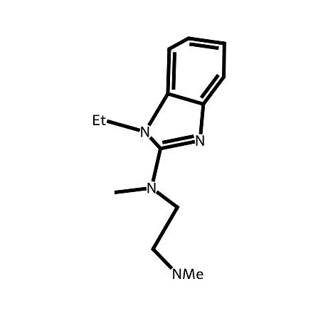 CCn1c(N(C)CCNC)nc2ccccc21